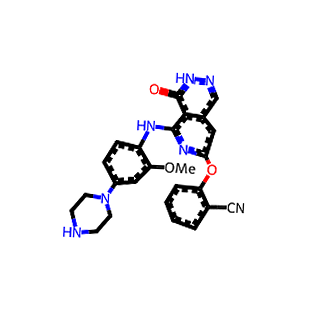 COc1cc(N2CCNCC2)ccc1Nc1nc(Oc2ccccc2C#N)cc2cn[nH]c(=O)c12